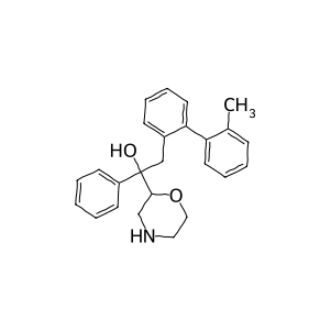 Cc1ccccc1-c1ccccc1CC(O)(c1ccccc1)C1CNCCO1